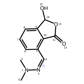 CN(C)/N=C\c1cccc2c1C(=O)OC2O